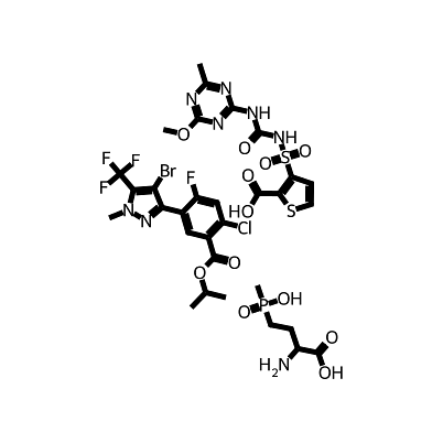 CC(C)OC(=O)c1cc(-c2nn(C)c(C(F)(F)F)c2Br)c(F)cc1Cl.COc1nc(C)nc(NC(=O)NS(=O)(=O)c2ccsc2C(=O)O)n1.CP(=O)(O)CCC(N)C(=O)O